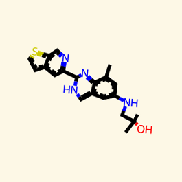 Cc1cc(NCC(C)(C)O)cc2c1=NC(c1cc3ccsc3cn1)NC=2